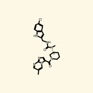 Cc1cnc2ncc(C(=O)N3CCC[C@@H](N(C)C(=O)NCc4cc5cc(Cl)ccc5[nH]4)C3)n2c1